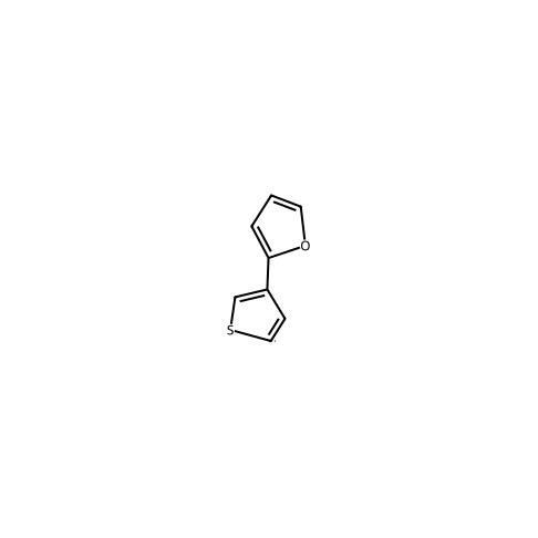 [c]1cc(-c2ccco2)cs1